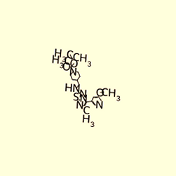 COc1cncc(-c2c(C)nc3sc(NCC4CCN(C(=O)OC(C)(C)C)CC4)nn23)c1